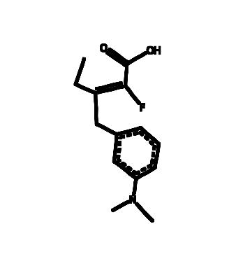 CCC(Cc1cccc(N(C)C)c1)=C(F)C(=O)O